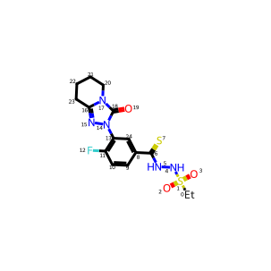 CCS(=O)(=O)NNC(=S)c1ccc(F)c(-n2nc3n(c2=O)CCCC3)c1